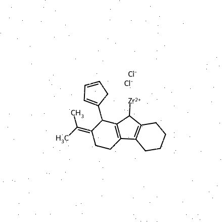 CC(C)=C1CCC2=C([CH]([Zr+2])C3=C2CCCC3)C1C1=CC=CC1.[Cl-].[Cl-]